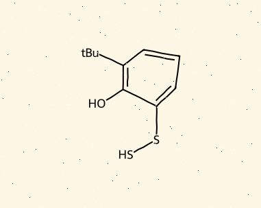 CC(C)(C)c1cccc(SS)c1O